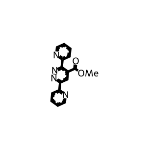 COC(=O)c1cc(-c2ccccn2)nnc1-c1ccccn1